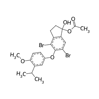 COc1ccc(Oc2c(Br)cc3c(c2Br)CCC3(O)OC(C)=O)cc1C(C)C